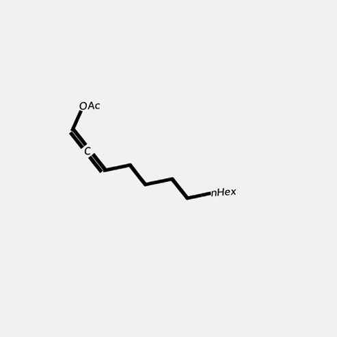 CCCCCCCCCCC=C=COC(C)=O